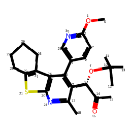 COc1ccc(-c2c([C@H](OC(C)(C)C)C(C)=O)c(C)nc3sc4c(c23)CCCC4)cn1